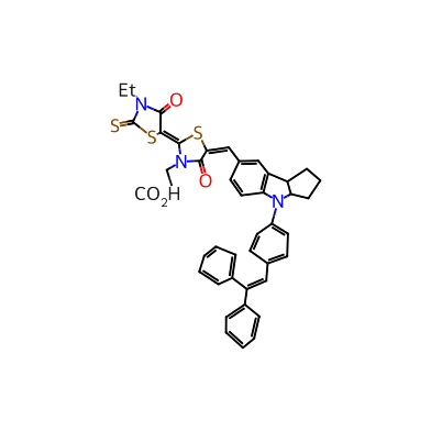 CCN1C(=O)/C(=c2\s/c(=C/c3ccc4c(c3)C3CCCC3N4c3ccc(C=C(c4ccccc4)c4ccccc4)cc3)c(=O)n2CC(=O)O)SC1=S